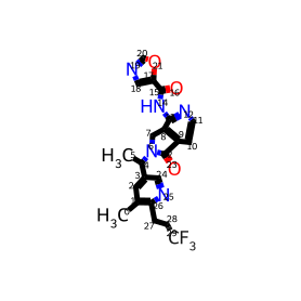 Cc1cc(C(C)N2Cc3c(ccnc3NC(=O)c3cnco3)C2=O)cnc1CCC(F)(F)F